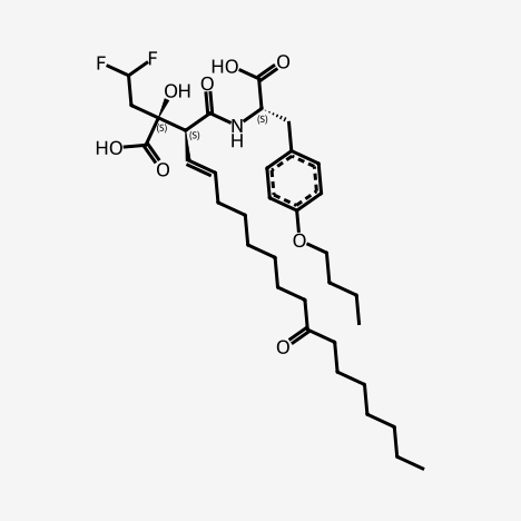 CCCCCCCC(=O)CCCCCCC=C[C@H](C(=O)N[C@@H](Cc1ccc(OCCCC)cc1)C(=O)O)[C@@](O)(CC(F)F)C(=O)O